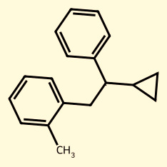 Cc1ccccc1C[C](c1ccccc1)C1CC1